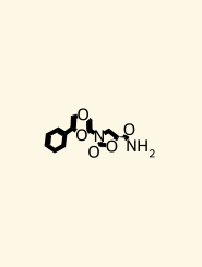 NC(=O)[C@H]1CN(C2=COC=C(C3=CC=CCC3)O2)C(=O)O1